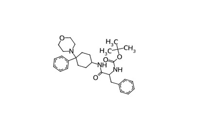 CC(C)(C)OC(=O)NC(Cc1ccccc1)C(=O)NC1CCC(c2ccccc2)(N2CCOCC2)CC1